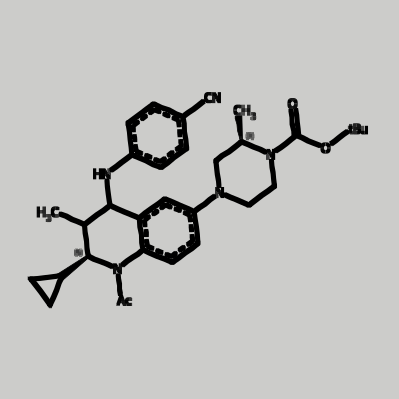 CC(=O)N1c2ccc(N3CCN(C(=O)OC(C)(C)C)[C@H](C)C3)cc2C(Nc2ccc(C#N)cc2)C(C)[C@@H]1C1CC1